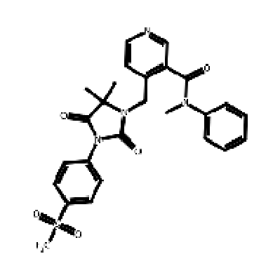 CN(C(=O)c1cnccc1CN1C(=O)N(c2ccc(S(=O)(=O)C(F)(F)F)cc2)C(=O)C1(C)C)c1ccccc1